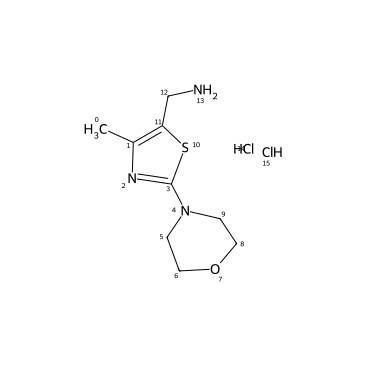 Cc1nc(N2CCOCC2)sc1CN.Cl.Cl